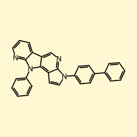 c1ccc(-c2ccc(-n3ccc4c3ncc3c5cccnc5n(-c5ccccc5)c34)cc2)cc1